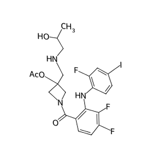 CC(=O)OC1(CNCC(C)O)CN(C(=O)c2ccc(F)c(F)c2Nc2ccc(I)cc2F)C1